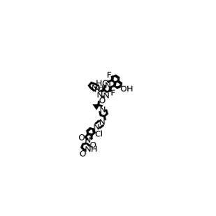 C#Cc1c(F)ccc2cc(O)cc(-c3ncc4c(N5CC6CCC(C5)N6)nc(OCC5(CN6CCC(CN7CCN(c8ccc9c(c8Cl)CN(C8CCC(=O)NC8=O)C9=O)CC7)CC6)CC5)nc4c3F)c12